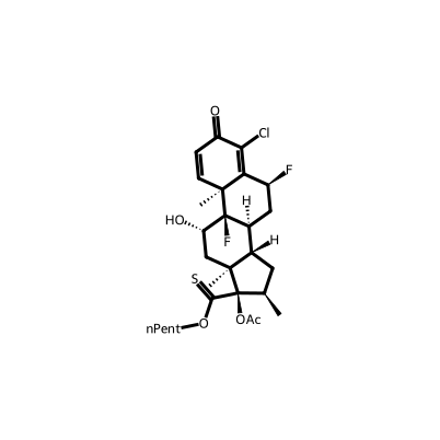 CCCCCOC(=S)[C@@]1(OC(C)=O)[C@H](C)C[C@H]2[C@@H]3C[C@H](F)C4=C(Cl)C(=O)C=C[C@]4(C)[C@@]3(F)[C@@H](O)C[C@@]21C